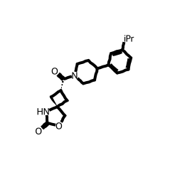 CC(C)c1cccc(C2CCN(C(=O)[C@H]3C[C@]4(COC(=O)N4)C3)CC2)c1